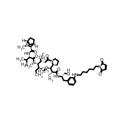 CC[C@H](C)[C@@H]([C@@H](CC(=O)N1CCC[C@H]1[C@H](OC)[C@@H](C)C(=O)N[C@H](CO)Cc1cccc(NCCCCCCN2C(=O)C=CC2=O)c1)OC)N(C)C(=O)[C@@H](NC(=O)[C@@H]1[C@H]2CC[C@H](C2)N1C)C(C)C